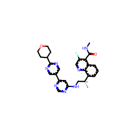 CNC(=O)c1c(F)cnc2c([C@H](C)CNc3cc(-c4cnc(C5CCOCC5)nc4)ncn3)cccc12